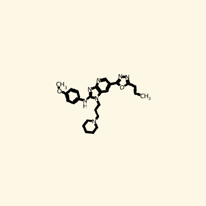 CCCc1nnc(-c2cnc3nc(Nc4ccc(OC)cc4)n(CCCN4CCCCC4)c3c2)o1